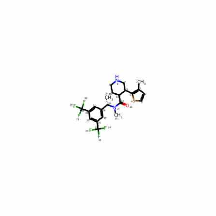 Cc1ccsc1C1CNCCC1C(=O)N(C)[C@@H](C)c1cc(C(F)(F)F)cc(C(F)(F)F)c1